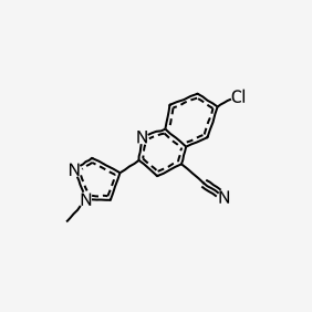 Cn1cc(-c2cc(C#N)c3cc(Cl)ccc3n2)cn1